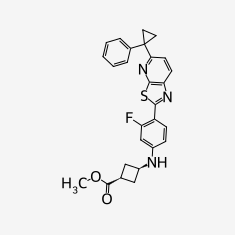 COC(=O)[C@H]1C[C@@H](Nc2ccc(-c3nc4ccc(C5(c6ccccc6)CC5)nc4s3)c(F)c2)C1